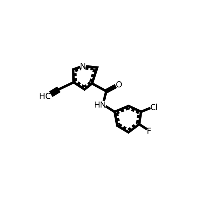 C#Cc1cncc(C(=O)Nc2ccc(F)c(Cl)c2)c1